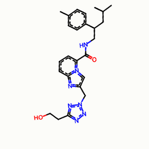 Cc1ccc(C(CNC(=O)c2cccc3nc(Cn4nnc(CCO)n4)cn23)CC(C)C)cc1